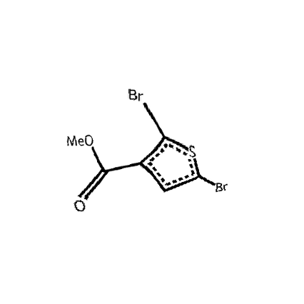 COC(=O)c1cc(Br)sc1Br